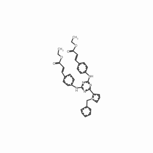 CCOC(=O)C=Cc1ccc(Nc2nc(Nc3ccc(C=CC(=O)OCC)cc3)nc(-c3cccn3Cc3ccccc3)n2)cc1